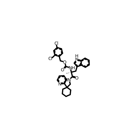 C[C@@](Cc1c[nH]c2ccccc12)(NC(=O)OCc1ccc(Cl)cc1Cl)C(=O)NCC1(c2ccccn2)CCCCC1